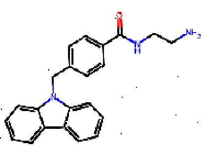 NCCNC(=O)c1ccc(Cn2c3ccccc3c3ccccc32)cc1